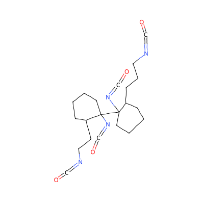 O=C=NCCCC1CCCCC1(N=C=O)C1(N=C=O)CCCCC1CCN=C=O